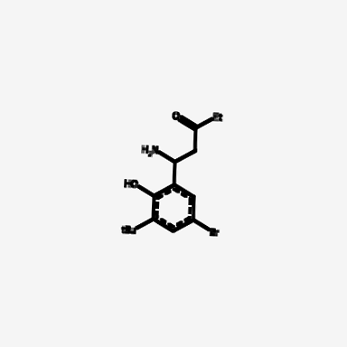 CCC(=O)CC(N)c1cc(Br)cc(C(C)(C)C)c1O